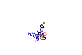 Cc1c(C2CNCCN2C(=O)N(C)C)nn(C(=O)c2cccs2)c1N(C)Cc1ccc(F)cc1